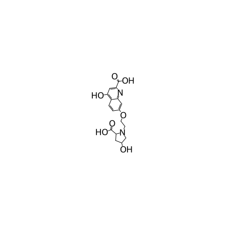 O=C(O)c1cc(O)c2ccc(OCCN3CC(O)CC3C(=O)O)cc2n1